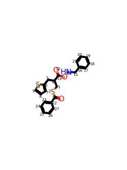 O=C(SCC(Cc1cccs1)C(=O)ONCc1ccccc1)c1ccccc1